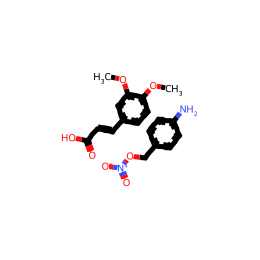 COc1ccc(C=CC(=O)O)cc1OC.Nc1ccc(CO[N+](=O)[O-])cc1